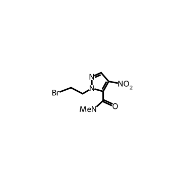 CNC(=O)c1c([N+](=O)[O-])cnn1CCBr